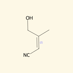 C/C(=C/C#N)CO